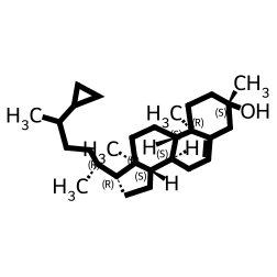 CC(CC[C@@H](C)[C@H]1CC[C@H]2[C@@H]3CC=C4C[C@@](C)(O)CC[C@]4(C)[C@H]3CC[C@]12C)C1CC1